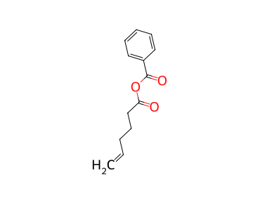 C=CCCCC(=O)OC(=O)c1ccccc1